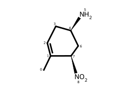 CC1=CC[C@@H](N)C[C@H]1[N+](=O)[O-]